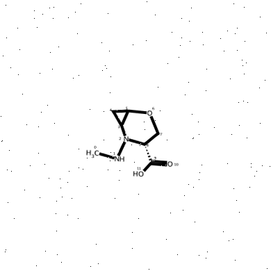 CNN1C2CC2OC[C@@H]1C(=O)O